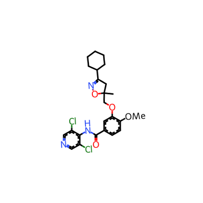 COc1ccc(C(=O)Nc2c(Cl)cncc2Cl)cc1OCC1(C)CC(C2CCCCC2)=NO1